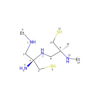 CCNC[C@@](N)(CS)NC[C@@](C)(CS)NCC